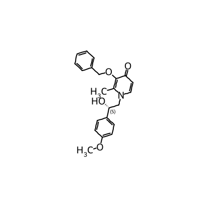 COc1ccc([C@H](O)Cn2ccc(=O)c(OCc3ccccc3)c2C)cc1